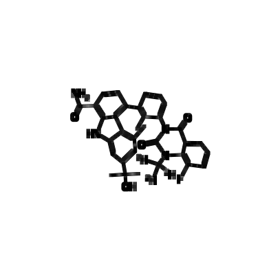 [2H]C([2H])([2H])n1c(=O)n(-c2cccc(-c3ccc(C(N)=O)c4[nH]c5cc(C(C)(C)O)cc(C)c5c34)c2C)c(=O)c2cccc(F)c21